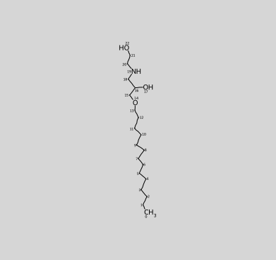 CCCCCCCCCCCCCCOCC(O)CNCCO